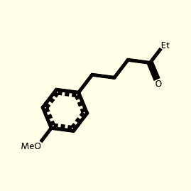 CCC(=O)CCCc1ccc(OC)cc1